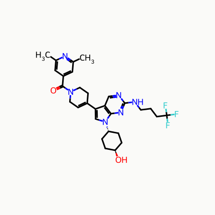 Cc1cc(C(=O)N2CC=C(c3cn([C@H]4CC[C@H](O)CC4)c4nc(NCCCC(F)(F)F)ncc34)CC2)cc(C)n1